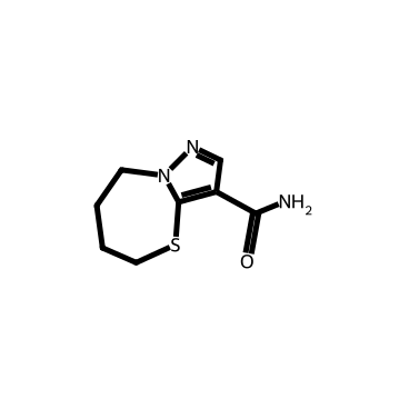 NC(=O)c1cnn2c1SCCCC2